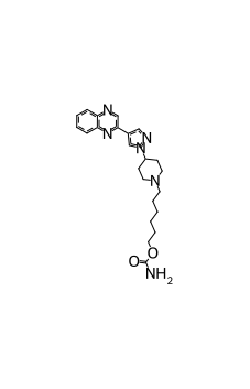 NC(=O)OCCCCCCN1CCC(n2cc(-c3cnc4ccccc4n3)cn2)CC1